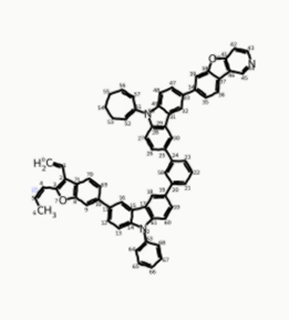 C=Cc1c(/C=C\C)oc2cc(-c3ccc4c(c3)c3cc(-c5cccc(-c6ccc7c(c6)c6cc(-c8ccc9c(c8)oc8ccncc89)ccc6n7C6=CCCCC=C6)c5)ccc3n4-c3ccccc3)ccc12